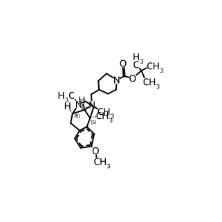 COc1ccc2c(c1)[C@]1(C)CCN(C)[C@H](C2)[C@@H]1N(C)CC1CCN(C(=O)OC(C)(C)C)CC1